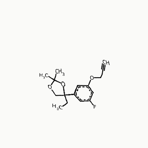 C#CCOc1cc(F)cc(C2(CC)COC(C)(C)O2)c1